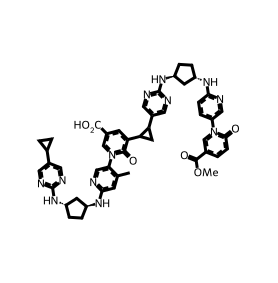 COC(=O)c1ccc(=O)n(-c2ccc(N[C@H]3CC[C@H](Nc4ncc(C5CC5c5cc(C(=O)O)cn(-c6cnc(N[C@H]7CC[C@H](Nc8ncc(C9CC9)cn8)C7)cc6C)c5=O)cn4)C3)nc2)c1